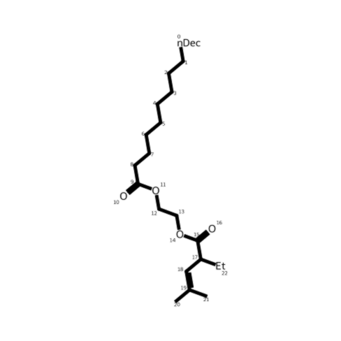 CCCCCCCCCCCCCCCCCCC(=O)OCCOC(=O)C(C=C(C)C)CC